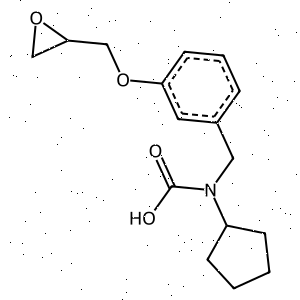 O=C(O)N(Cc1cccc(OCC2CO2)c1)C1CCCC1